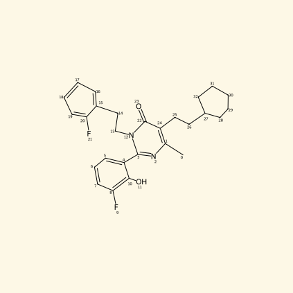 Cc1nc(-c2cccc(F)c2O)n(CCc2ccccc2F)c(=O)c1CCC1CCCCC1